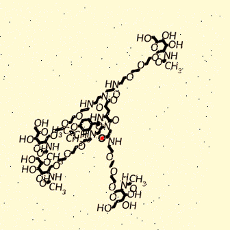 CC(=O)NC1C(OCCOCCOCCNC(=O)CN(CC(=O)NCCOCCOCCOC2OC(CO)C(O)C(O)C2NC(C)=O)C(=O)CCC(NC(=O)C2CCC(OC(C)(C)C)CC2)C(=O)N(CC(=O)NCCOCCOCCOC2OC(CO)C(O)C(O)C2NC(C)=O)CC(=O)NCCOCCOCCOC2OC(CO)C(O)C(O)C2NC(C)=O)OC(CO)C(O)C1O